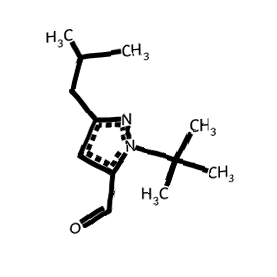 CC(C)Cc1cc(C=O)n(C(C)(C)C)n1